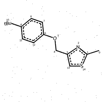 Cc1nc(COc2ccc(C(C)(C)C)cc2)cs1